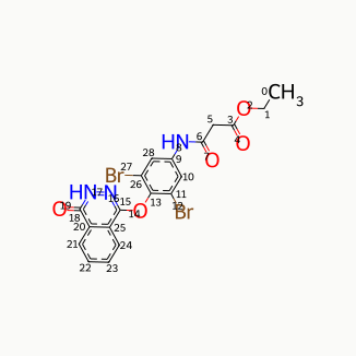 CCOC(=O)CC(=O)Nc1cc(Br)c(Oc2n[nH]c(=O)c3ccccc23)c(Br)c1